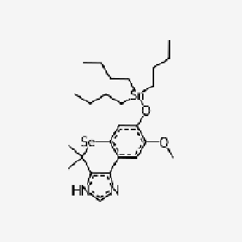 CCC[CH2][Sn]([CH2]CCC)([CH2]CCC)[O]c1cc2c(cc1OC)-c1nc[nH]c1C(C)(C)[Se]2